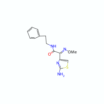 CON=C(C(=O)NCCc1ccccc1)c1csc(N)n1